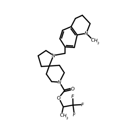 CC(OC(=O)N1CCC2(CCCN2Cc2ccc3c(c2)N(C)CCC3)CC1)C(F)(F)F